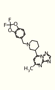 Cc1cc(C2CCCN(Cc3ccc4c(c3)OC(F)(F)O4)C2)n2ncnc2n1